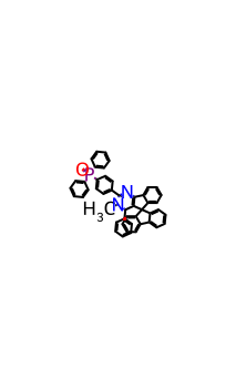 CN1C(c2ccc(P(=O)(c3ccccc3)c3ccccc3)cc2)=NC2=C(C1c1ccccc1)C1(c3ccccc32)c2ccccc2-c2ccccc21